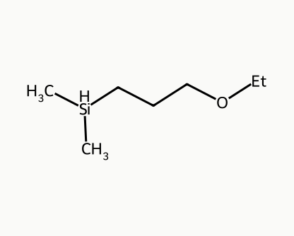 CCOCCC[SiH](C)C